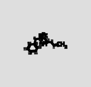 C=CCCC[N+](CCC)(CCC)Cc1ccccc1